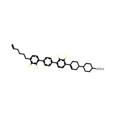 C=CCCCCc1ccc(-c2ccc(-c3ccc(C4=CCC(C5CCC(CCCCCC)CC5)CC4)c(F)c3F)cc2)c(F)c1F